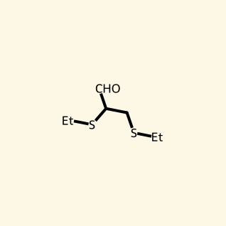 CCSCC(C=O)SCC